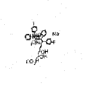 CC(C)N1C(C=C[C@@H](O)C[C@@H](O)CC(=O)O)C(c2ccc(F)cc2)=C(c2ccccc2)C1(C(=O)Nc1ccccc1)C(=O)Nc1ccc(F)cc1.[Na]